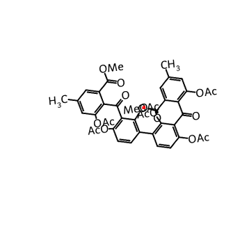 COC(=O)c1cc(C)cc(OC(C)=O)c1C(=O)c1c(OC(C)=O)ccc(-c2ccc(OC(C)=O)c(C(=O)c3c(OC(C)=O)cc(C)cc3C(=O)OC)c2OC(C)=O)c1OC(C)=O